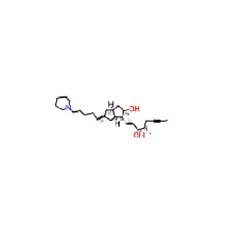 CC#CC[C@H](C)[C@H](O)/C=C/[C@@H]1[C@H]2C/C(=C/CCCCN3CCCCC3)C[C@H]2C[C@H]1O